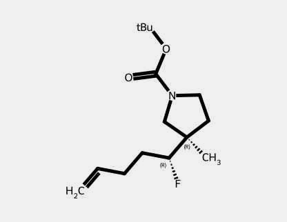 C=CCC[C@@H](F)[C@]1(C)CCN(C(=O)OC(C)(C)C)C1